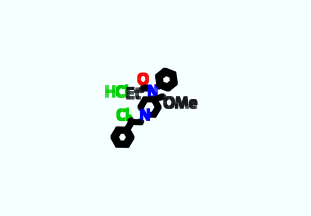 CCC(=O)N(c1ccccc1)C1(COC)CCN(CC(Cl)c2ccccc2)CC1.Cl